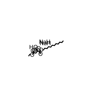 CCCCCCCCCCCCOC(=O)C(CC(=O)OCC)S(=O)(=O)O.[NaH].[NaH]